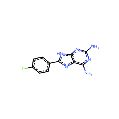 Nc1nc(N)c2nc(-c3ccc(F)cc3)[nH]c2n1